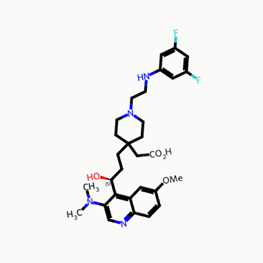 COc1ccc2ncc(N(C)C)c([C@@H](O)CCC3(CC(=O)O)CCN(CCNc4cc(F)cc(F)c4)CC3)c2c1